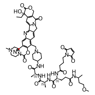 CC[C@@]1(O)C(=O)OCc2c1cc1n(c2=O)Cc2cc3c(CN4CCC(NC(=O)[C@H](C)NC(=O)[C@H](C)NC(=O)[C@H](CCC(=O)NC(C)CCOC)NC(=O)CCCN5C(=O)C=CC5=O)CC4)c(OC(=O)N4CCN(C)CC4)c(C#N)cc3nc2-1